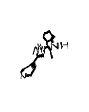 Cc1[nH]c2ccccc2c1-n1cc(-c2ccncc2)nn1